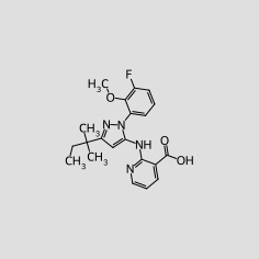 CCC(C)(C)c1cc(Nc2ncccc2C(=O)O)n(-c2cccc(F)c2OC)n1